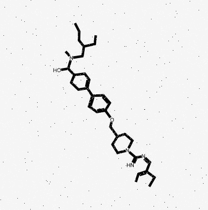 CC=C(/C=N\C(=N)N1CCC(COc2ccc(C3=CCC(C(O)N(C)CC(CC)CCC)CC3)cc2)CC1)CC